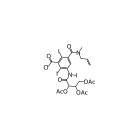 C=CCN(C)C(=O)c1cc(N(I)C(=O)C(OC(C)=O)C(COC(C)=O)OC(C)=O)c(I)c(C(=O)Cl)c1I